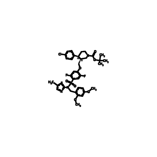 COc1ccc(CN(c2ncc(C)s2)S(=O)(=O)c2cc(F)c(OC[C@H]3CN(C(=O)OC(C)(C)C)CC[C@@H]3c3ccc(Cl)cc3)cc2F)c(OC)c1